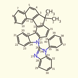 CC1(C)c2ccc3ccccc3c2-c2c1ccc1c2c2ccccc2n1-c1nc2ccccc2n1-c1ccccc1